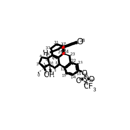 C[C@]1(O)CC[C@H]2C3=C4C(C[C@@]21C)c1ccc(OS(=O)(=O)C(F)(F)F)cc1C[C@@]41CCC(=O)C=C1CC3